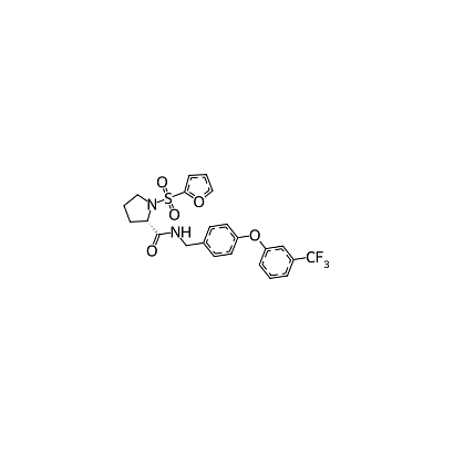 O=C(NCc1ccc(Oc2cccc(C(F)(F)F)c2)cc1)[C@@H]1CCCN1S(=O)(=O)c1ccco1